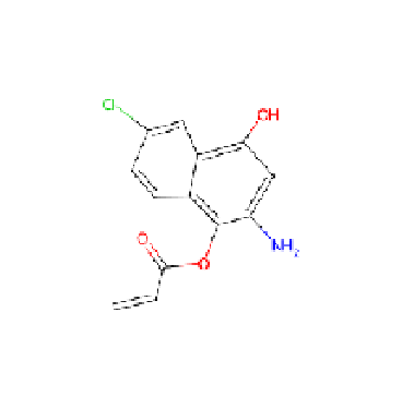 C=CC(=O)Oc1c(N)cc(O)c2cc(Cl)ccc12